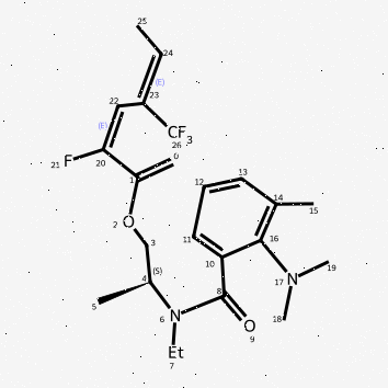 C=C(OC[C@H](C)N(CC)C(=O)c1cccc(C)c1N(C)C)/C(F)=C\C(=C/C)C(F)(F)F